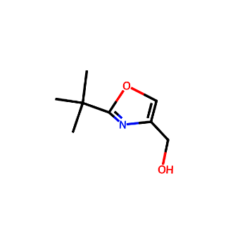 CC(C)(C)c1nc(CO)co1